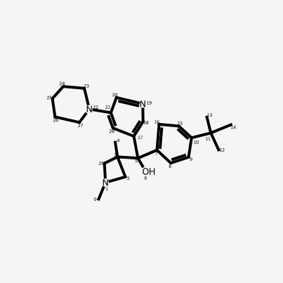 CN1CC(C)(C(O)(c2ccc(C(C)(C)C)cc2)c2cncc(N3CCCCC3)c2)C1